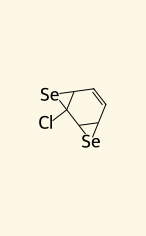 ClC12[Se]C1C=CC1[Se]C12